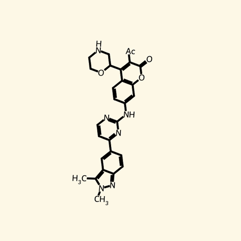 CC(=O)c1c(C2CNCCO2)c2ccc(Nc3nccc(-c4ccc5nn(C)c(C)c5c4)n3)cc2oc1=O